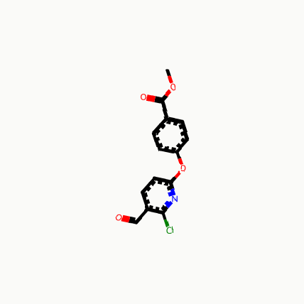 COC(=O)c1ccc(Oc2ccc(C=O)c(Cl)n2)cc1